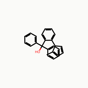 CC1=CC=CC1c1ccccc1C(O)(c1ccccc1)c1ccccc1